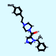 COc1ccc(CCN2CCN(C(=O)c3cncn3[C@H](C)c3ccccc3)CC2)cc1